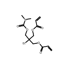 C=CC(=O)OCC(CC)(COC(=O)C=C)COC(=O)N(C)C